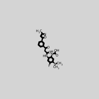 Cc1cc(-c2cccc(C(=O)CC(=O)Nc3cc(F)c(N(C)C)cc3NC(=O)O)c2)on1